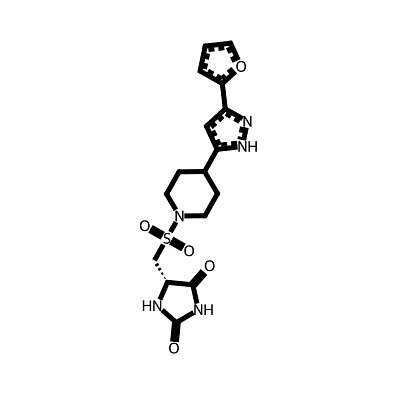 O=C1NC(=O)[C@@H](CS(=O)(=O)N2CCC(c3cc(-c4ccco4)n[nH]3)CC2)N1